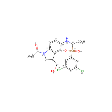 CNC(=O)N1CC(CO)c2cc(NC(C(=O)O)S(=O)(=O)c3cc(Cl)cc(Cl)c3)ccc21